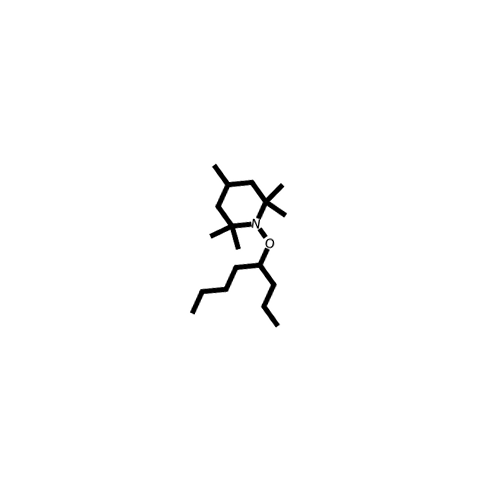 CCCCC(CCC)ON1C(C)(C)CC(C)CC1(C)C